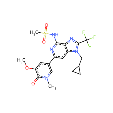 COc1cc(-c2cc3c(nc(C(F)(F)F)n3CC3CC3)c(NS(C)(=O)=O)n2)cn(C)c1=O